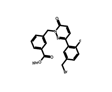 COC(=O)c1cccc(Cn2nc(-c3cc(CBr)ccc3F)ccc2=O)c1